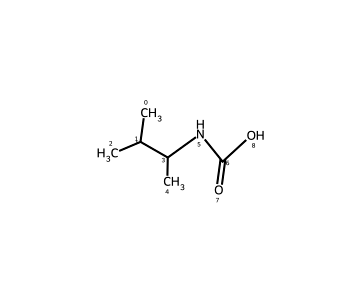 C[C](C)C(C)NC(=O)O